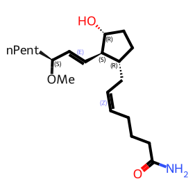 CCCCC[C@@H](/C=C/[C@@H]1[C@@H](C/C=C\CCCC(N)=O)CC[C@H]1O)OC